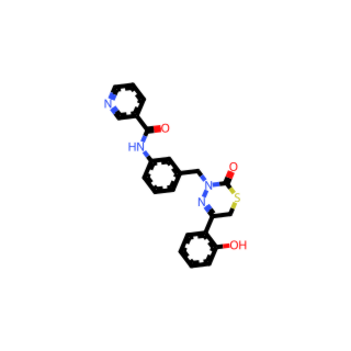 O=C(Nc1cccc(CN2N=C(c3ccccc3O)CSC2=O)c1)c1cccnc1